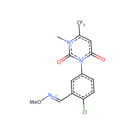 CO/N=C/c1cc(-n2c(=O)cc(C(F)(F)F)n(C)c2=O)ccc1Cl